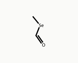 C[Se]C=O